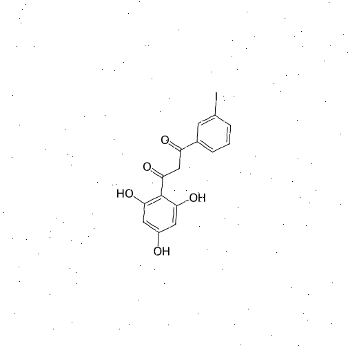 O=C(CC(=O)c1c(O)cc(O)cc1O)c1cccc(I)c1